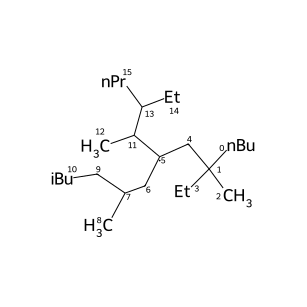 CCCCC(C)(CC)C[C](CC(C)CC(C)CC)C(C)C(CC)CCC